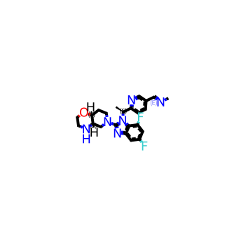 C/N=C/c1ccc([C@H](C)n2c(N3CC[C@@H]4OCCN[C@H]4C3)nc3cc(F)cc(F)c32)nc1